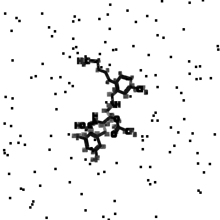 C=CCCCc1ccc(C(F)(F)F)cc1CNC[C@H](OC(=O)C(F)(F)F)[C@H](Cc1cc(F)cc(F)c1)NC(=O)O